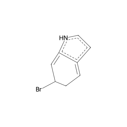 BrC1C=c2[nH]ccc2=CC1